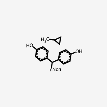 CC1CC1.CCCCCCCCCC(c1ccc(O)cc1)c1ccc(O)cc1